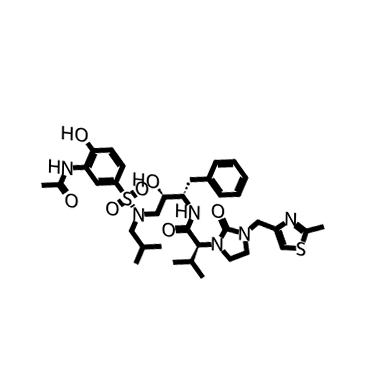 CC(=O)Nc1cc(S(=O)(=O)N(CC(C)C)C[C@H](O)[C@H](Cc2ccccc2)NC(=O)[C@H](C(C)C)N2CCN(Cc3csc(C)n3)C2=O)ccc1O